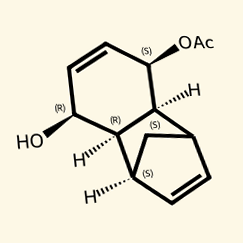 CC(=O)O[C@@H]1C=C[C@H](O)[C@H]2[C@@H]1C1C=C[C@@H]2C1